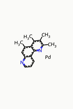 Cc1nc2c(c(C)cc3ncccc32)c(C)c1C.[Pd]